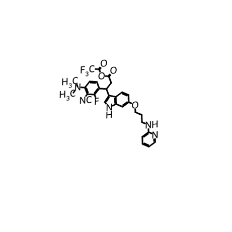 CN(C)c1ccc(C(CC(=O)OC(=O)C(F)(F)F)c2c[nH]c3cc(OCCCNc4ccccn4)ccc23)c(F)c1C#N